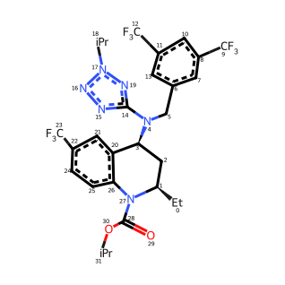 CC[C@@H]1C[C@H](N(Cc2cc(C(F)(F)F)cc(C(F)(F)F)c2)c2nnn(C(C)C)n2)c2cc(C(F)(F)F)ccc2N1C(=O)OC(C)C